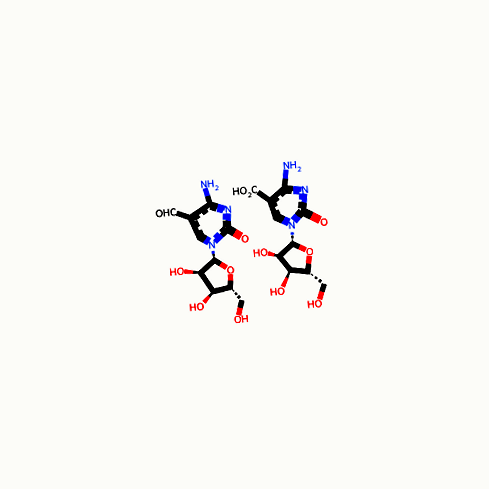 Nc1nc(=O)n([C@@H]2O[C@H](CO)[C@@H](O)[C@H]2O)cc1C(=O)O.Nc1nc(=O)n([C@@H]2O[C@H](CO)[C@@H](O)[C@H]2O)cc1C=O